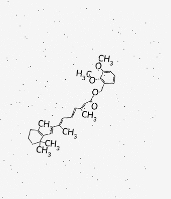 COc1cccc(COC(=O)/C=C(C)/C=C/C=C(C)/C=C/C2=C(C)CCCC2(C)C)c1OC